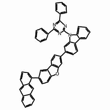 c1ccc(-c2nc(-c3ccccc3)nc(-n3c4ccccc4c4ccc(-c5ccc6c(c5)oc5ccc(-c7cccc8cc9ccccc9cc78)cc56)cc43)n2)cc1